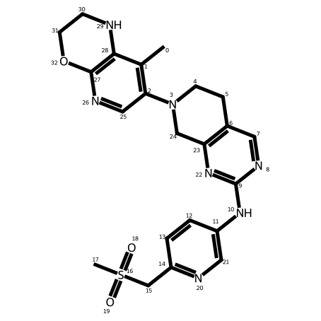 Cc1c(N2CCc3cnc(Nc4ccc(CS(C)(=O)=O)nc4)nc3C2)cnc2c1NCCO2